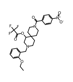 CCOc1ccccc1CN1CCC2(CCN(C(=O)c3ccc([N+](=O)[O-])cc3)CC2)C(OC(=O)C(F)(F)F)C1